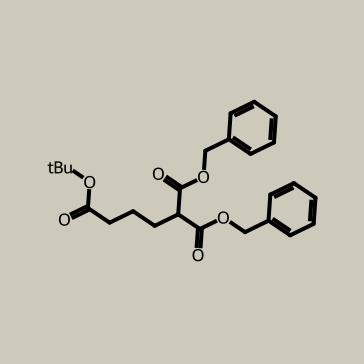 CC(C)(C)OC(=O)CCCC(C(=O)OCc1ccccc1)C(=O)OCc1ccccc1